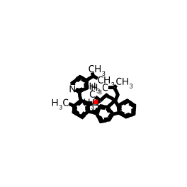 Cc1ccc2c(oc3c4c(ccc32)-c2ccccc2C4(CC(C)C)CC(C)C)c1-c1cc(C(C)C)ccn1